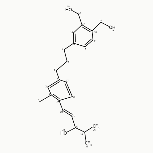 Cc1cc(CCCc2ccc(CO)c(CO)c2)ccc1C=CC(O)C(C(F)(F)F)C(F)(F)F